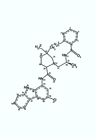 Cc1ncccc1C(=O)N[C@@H](C)CN1CC(C)(C)OCC1C(=O)Nc1cc(Cl)cc2c1[nH]c1cnccc12